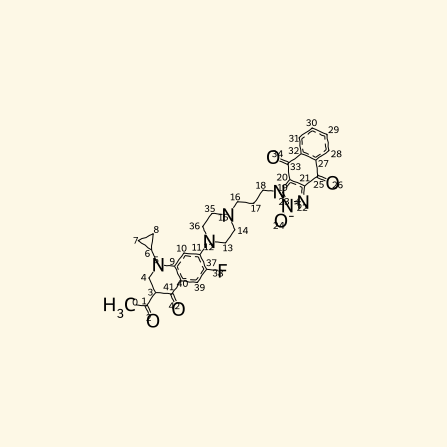 CC(=O)C1CN(C2CC2)c2cc(N3CCN(CCCn4c5c(n[n+]4[O-])C(=O)c4ccccc4C5=O)CC3)c(F)cc2C1=O